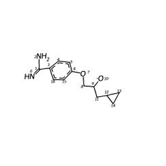 N=C(N)c1ccc(OCC([O])CC2CC2)cc1